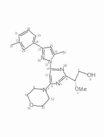 CO[C@@H](CO)c1nc(N2CCOCC2)cc(-n2nc(-c3cccc(C)c3)cc2C)n1